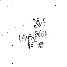 CC(C)(C)OC(=O)NCCCC[C@H](NC(=O)OC(C)(C)C)C(=O)N1C[C@@H](CCB(O)O)C[C@](NC(=O)OC(C)(C)C)(C(=O)O)C1